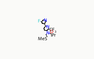 CSCCN(C(=O)C(C)C)c1ccc(-c2cncc(F)c2)nc1C(F)(F)F